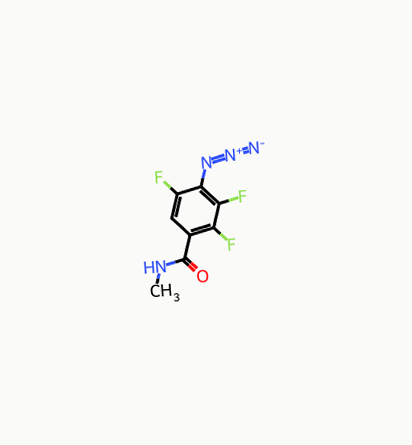 CNC(=O)c1cc(F)c(N=[N+]=[N-])c(F)c1F